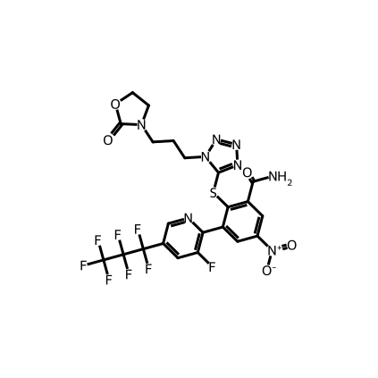 NC(=O)c1cc([N+](=O)[O-])cc(-c2ncc(C(F)(F)C(F)(F)C(F)(F)F)cc2F)c1Sc1nnnn1CCCN1CCOC1=O